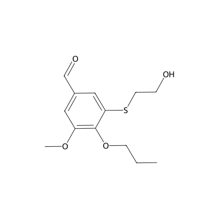 CCCOc1c(OC)cc(C=O)cc1SCCO